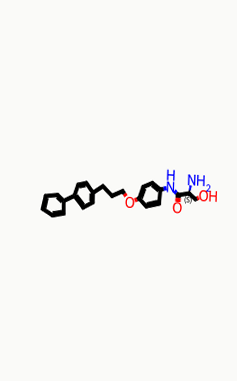 N[C@@H](CO)C(=O)Nc1ccc(OCCCc2ccc(-c3ccccc3)cc2)cc1